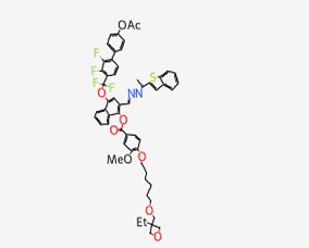 CCC1(COCCCCCCOc2ccc(C(=O)Oc3c(/C=N/N=C(\C)c4cc5ccccc5s4)cc(OC(F)(F)c4ccc(-c5ccc(OC(C)=O)cc5)c(F)c4F)c4ccccc34)cc2OC)COC1